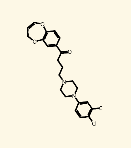 O=C(CCCN1CCN(c2ccc(Cl)c(Cl)c2)CC1)c1ccc2c(c1)OCC=CO2